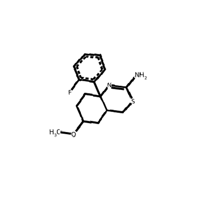 COC1CCC2(c3ccccc3F)N=C(N)SCC2C1